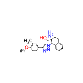 Cc1cc(-c2cn(C3c4ccccc4CCC3(N)CO)nn2)ccc1OC(C)C